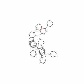 c1ccc(-c2ccc(N(c3ccc4c(c3)C3(c5ccccc5-c5ccccc53)c3ccccc3-4)c3c(-c4ccccc4)ccc4oc5ccc(-c6ccc7c(c6)c6ccccc6n7-c6ccccc6)cc5c34)cc2)cc1